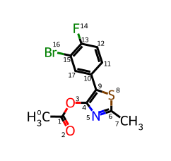 CC(=O)Oc1nc(C)sc1-c1ccc(F)c(Br)c1